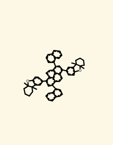 CC12CCCCC1(C)c1cc(-c3cc(-c4cccc5ccccc45)c4ccc5c(-c6ccc7c(c6)C6(C)CCCCC6(C)O7)cc(-c6cccc7ccccc67)c6ccc3c4c56)ccc1O2